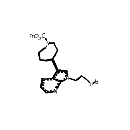 CCOCCn1cc(C2CCN(C(=O)OCC)CC2)c2cccnc21